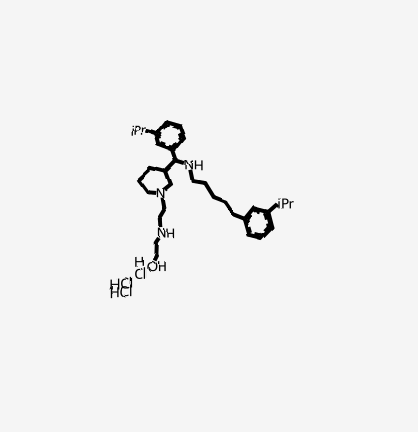 CC(C)c1cccc(CCCCCNC(c2cccc(C(C)C)c2)C2CCCN(CCNCCO)C2)c1.Cl.Cl.Cl